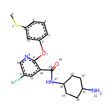 CSc1cccc(Oc2ncc(F)cc2C(=O)NC2CCC(N)CC2)c1